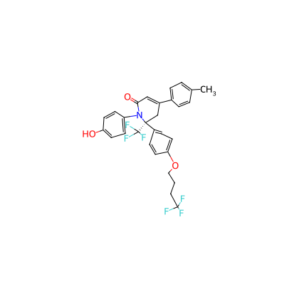 Cc1ccc(C2=CC(=O)N(c3ccc(O)cc3)[C@@](c3ccc(OCCCC(F)(F)F)cc3)(C(F)(F)F)C2)cc1